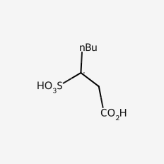 CCCC[C](CC(=O)O)S(=O)(=O)O